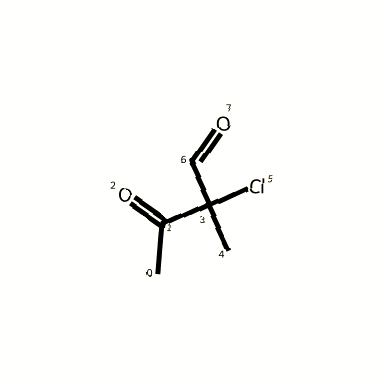 CC(=O)C(C)(Cl)[C]=O